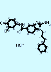 Cl.Nc1nc2cc(C(=O)Nc3ccc(Cl)c(Cl)c3)ccc2n1CCCc1ccccc1